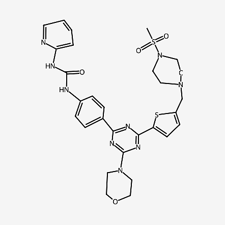 CS(=O)(=O)N1CCN(Cc2ccc(-c3nc(-c4ccc(NC(=O)Nc5ccccn5)cc4)nc(N4CCOCC4)n3)s2)CC1